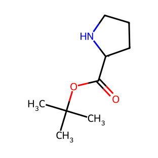 CC(C)(C)OC(=O)[C]1CCCN1